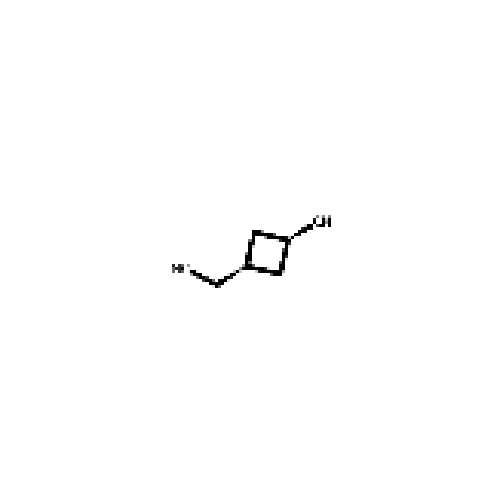 N#CC[C@H]1C[C@@H](C#N)C1